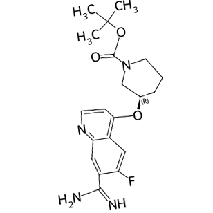 CC(C)(C)OC(=O)N1CCC[C@@H](Oc2ccnc3cc(C(=N)N)c(F)cc23)C1